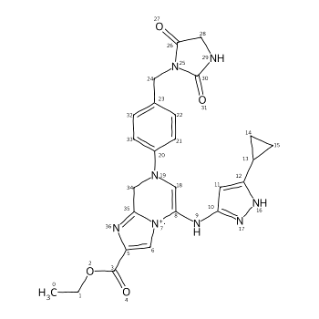 CCOC(=O)C1=C[N+]2C(Nc3cc(C4CC4)[nH]n3)=CN(c3ccc(CN4C(=O)CNC4=O)cc3)CC2=N1